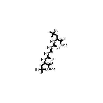 CCC(C)(C)CC(NC(=S)NCNC(=S)NC(CC(C)(C)CC)C(=O)OC)C(=O)OC